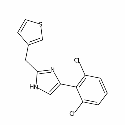 Clc1cccc(Cl)c1-c1c[nH]c(Cc2ccsc2)n1